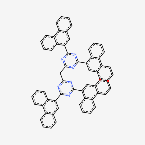 c1ccc2c(c1)cc(-c1nc(Cc3nc(-c4cc5ccccc5c5ccccc45)nc(-c4cc5ccccc5c5ccccc45)n3)nc(-c3cc4ccccc4c4ccccc34)n1)c1ccccc12